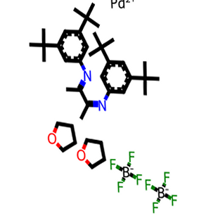 C1CCOC1.C1CCOC1.CC(=Nc1cc(C(C)(C)C)cc(C(C)(C)C)c1)C(C)=Nc1cc(C(C)(C)C)cc(C(C)(C)C)c1.F[B-](F)(F)F.F[B-](F)(F)F.[Pd+2]